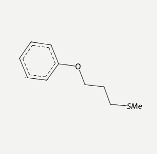 CSCCCOc1c[c]ccc1